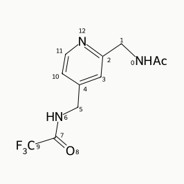 CC(=O)NCc1cc(CNC(=O)C(F)(F)F)ccn1